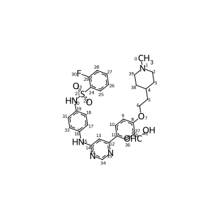 CN1CCC(CCOc2ccc(-c3cc(Nc4ccc(NS(=O)(=O)c5ccccc5F)cc4)ncn3)cc2)CC1.O=CO